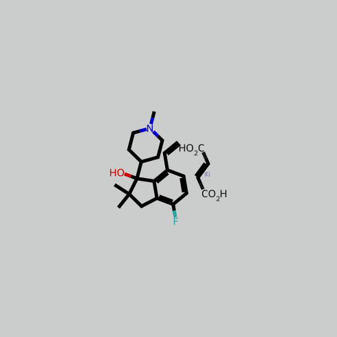 C=Cc1ccc(F)c2c1C(O)(C1CCN(C)CC1)C(C)(C)C2.O=C(O)/C=C/C(=O)O